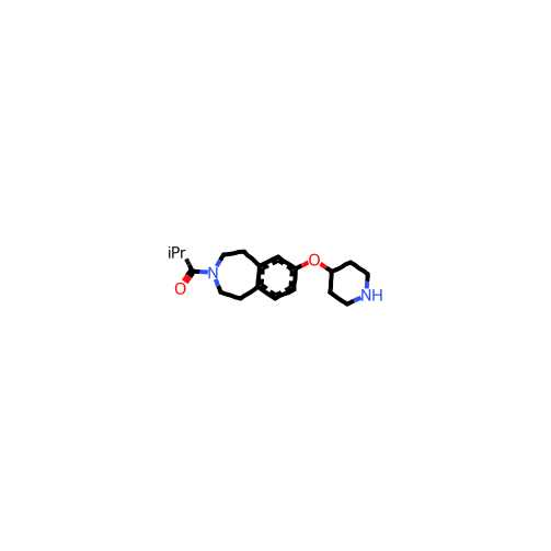 CC(C)C(=O)N1CCc2ccc(OC3CCNCC3)cc2CC1